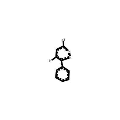 CCc1cc(Cl)nnc1-c1ccccc1